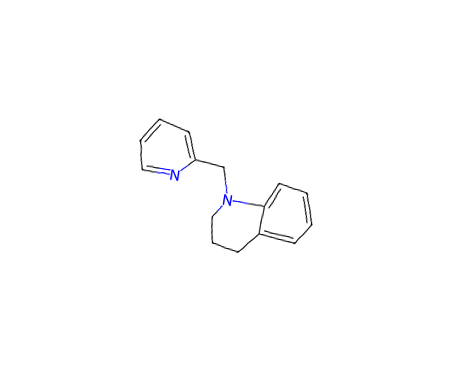 c1ccc(CN2CCCc3ccccc32)nc1